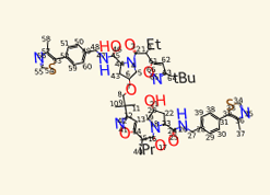 CCC(C(=O)N1CC(OCC(C)(C)c2cc(C(C(=O)N3CC(O)CC3C(=O)NCc3ccc(-c4scnc4C)cc3)C(C)C)on2)CC1C(O)NCc1ccc(-c2scnc2C)cc1)c1cc(C(C)(C)C)no1